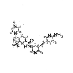 Cc1cc(C#Cc2cc(NC(=O)c3ccc(CN4CCN(C)CC4)c(C(F)(F)F)c3)cnc2C)cnc1N